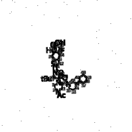 CC(=O)N1CCN(C(=O)[C@@H](NC(=O)c2cc3cc(C(F)(F)P(=O)(O)O)ccc3s2)C(C)(C)C)[C@H](C(=O)N2CCC[C@H](c3ccccc3)C2)C1